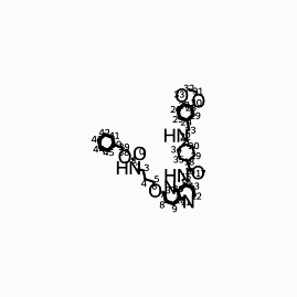 O=C(NCCCOc1ccc2nccc(NC(=O)C3CCC(NCc4ccc5c(c4)OCCO5)CC3)c2n1)OCc1ccccc1